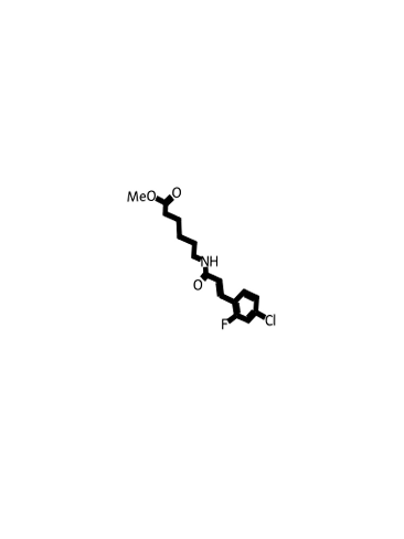 COC(=O)CCCCCNC(=O)C=Cc1ccc(Cl)cc1F